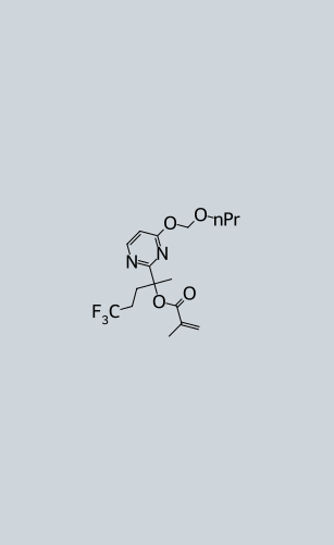 C=C(C)C(=O)OC(C)(CCC(F)(F)F)c1nccc(OCOCCC)n1